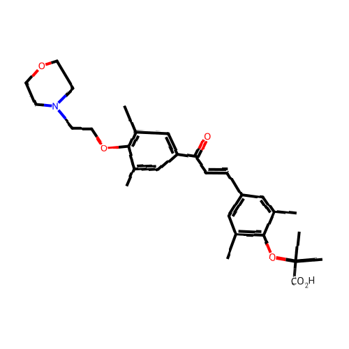 Cc1cc(C(=O)/C=C/c2cc(C)c(OC(C)(C)C(=O)O)c(C)c2)cc(C)c1OCCN1CCOCC1